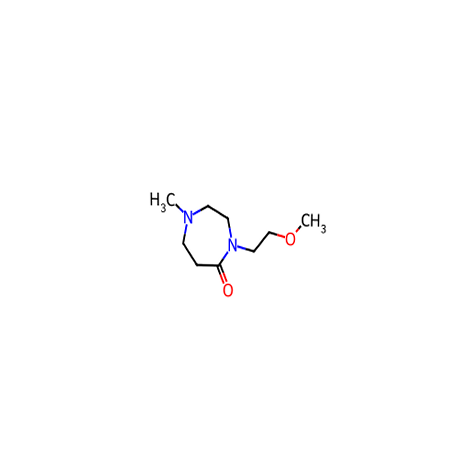 COCCN1CCN(C)CCC1=O